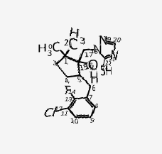 CC1(C)CCC(Cc2cccc(Cl)c2F)C1(O)Cn1ncnc1S